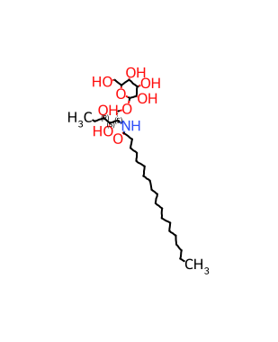 CCCCCCCCCCCCCCCCCCCC(=O)N[C@@H](COC1OC(CO)C(O)C(O)C1O)[C@H](O)[C@H](O)CC